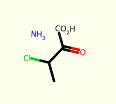 CC(Cl)C(=O)C(=O)O.N